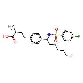 CC(CCc1ccc(C(CCCCCF)NS(=O)(=O)c2ccc(F)cc2)cc1)C(=O)O